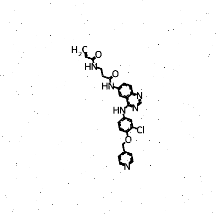 C=CC(=O)NCCC(=O)Nc1ccc2ncnc(Nc3ccc(OCc4ccncc4)c(Cl)c3)c2c1